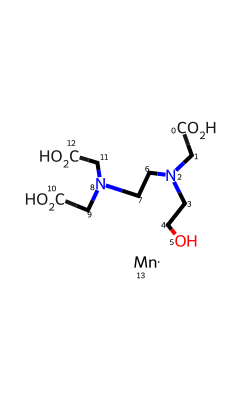 O=C(O)CN(CCO)CCN(CC(=O)O)CC(=O)O.[Mn]